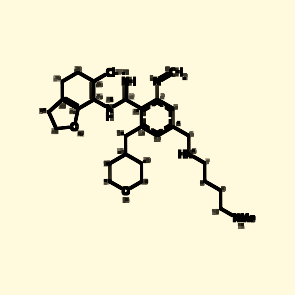 C=Nc1cc(CNCCCCNC)cc(CC2CCOCC2)c1C(=N)NC1=C(Cl)CCC2=C1OCC2